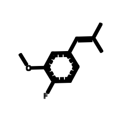 COc1cc(C=C(C)C)ccc1F